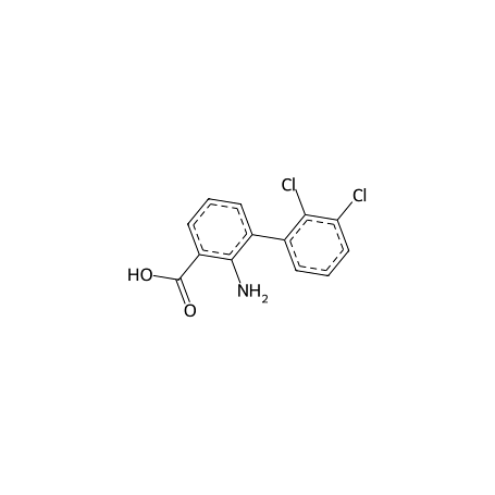 Nc1c(C(=O)O)cccc1-c1cccc(Cl)c1Cl